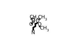 CCOC(OCC)C(CCC#N)[PH](=O)OCC